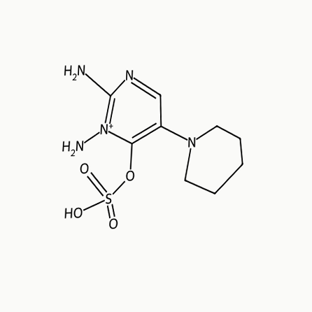 Nc1ncc(N2CCCCC2)c(OS(=O)(=O)O)[n+]1N